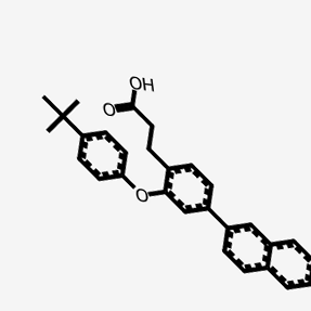 CC(C)(C)c1ccc(Oc2cc(-c3ccc4ccccc4c3)ccc2CCC(=O)O)cc1